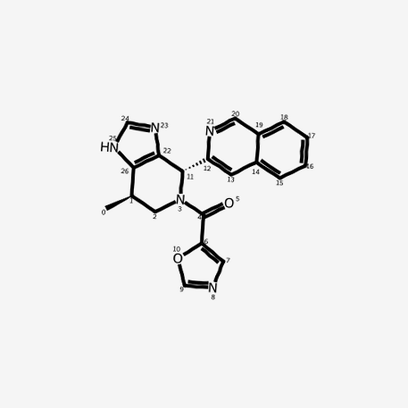 C[C@@H]1CN(C(=O)c2cnco2)[C@@H](c2cc3ccccc3cn2)c2nc[nH]c21